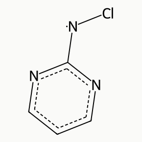 Cl[N]c1ncccn1